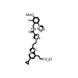 CCOC(=O)CCc1cc(C2CC2)cn2cc(CCn3cc(C(=O)NCc4c(-n5cnnn5)ccc(OC)c4F)nn3)nc12